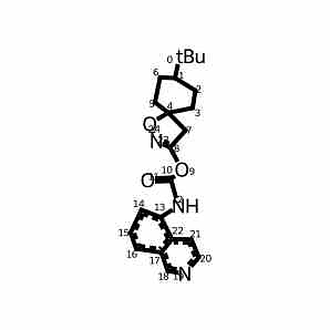 CC(C)(C)C1CCC2(CC1)CC(OC(=O)Nc1cccc3cnccc13)=NO2